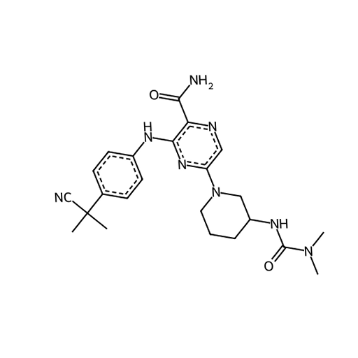 CN(C)C(=O)NC1CCCN(c2cnc(C(N)=O)c(Nc3ccc(C(C)(C)C#N)cc3)n2)C1